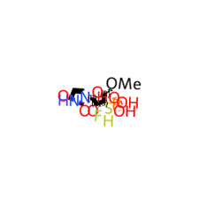 COC[C@H]1O[C@@H](n2ccc(=O)[nH]c2=O)[C@@H](OF)[C@H]1[SH]=P(O)(O)O